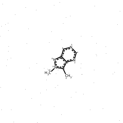 Cc1c2ncncc2nn1C